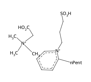 CCCCCc1cccc[n+]1CCCS(=O)(=O)O.C[N+](C)(C)CC(=O)O